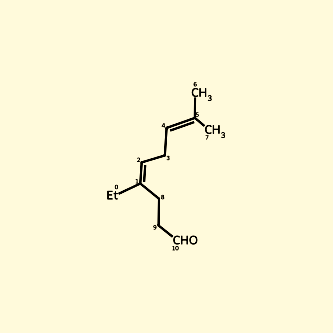 CC/C(=C/CC=C(C)C)CCC=O